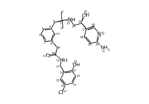 CC(C)(Cc1cccc(CC(=O)NCc2cc(Cl)ccc2O)c1)NC[C@@H](O)c1ccc(N)nc1